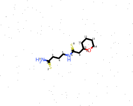 NC(=S)CCCNC(=S)CC1CCCCO1